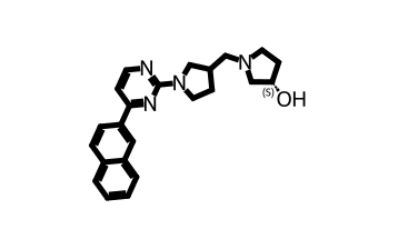 O[C@H]1CCN(CC2CCN(c3nccc(-c4ccc5ccccc5c4)n3)C2)C1